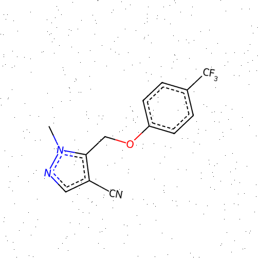 Cn1ncc(C#N)c1COc1ccc(C(F)(F)F)cc1